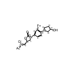 CC(=O)[NH+]([O-])CC1CN(c2ccc(N3CCC(O)C3)c(F)c2)C(=O)O1